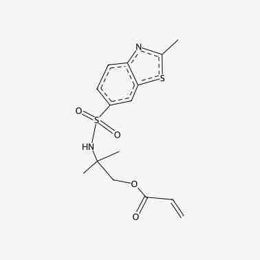 C=CC(=O)OCC(C)(C)NS(=O)(=O)c1ccc2nc(C)sc2c1